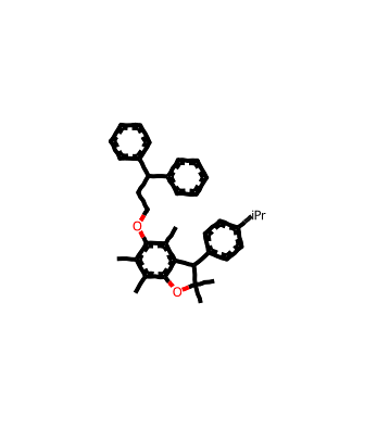 Cc1c(C)c2c(c(C)c1OCCC(c1ccccc1)c1ccccc1)C(c1ccc(C(C)C)cc1)C(C)(C)O2